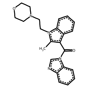 Cc1c(C(=O)n2cnc3ccccc32)c2ccccc2n1CCN1CCOCC1